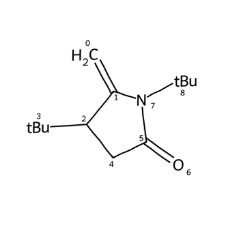 C=C1C(C(C)(C)C)CC(=O)N1C(C)(C)C